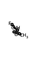 Cc1ccc(NC(=O)c2ccccc2-c2ccccc2CNC(=O)Cc2ccc(F)cc2)cc1